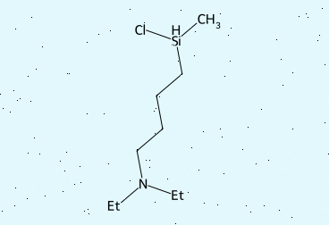 CCN(CC)CCCC[SiH](C)Cl